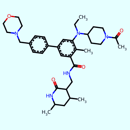 CCN(c1cc(-c2ccc(CN3CCOCC3)cc2)cc(C(=O)NCC2C(=O)NC(C)CC2C)c1C)C1CCN(C(C)=O)CC1